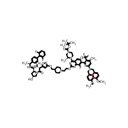 COc1ccc(CN(Cc2ccc(OC)cc2)c2cc(C)c(C(F)(F)F)c(-c3c(Cl)cc4c(N5CCN(C(=O)OC(C)(C)C)C[C@@H]5C)nc(OCCN5CCC(COc6cc([C@H](C(=O)N7C[C@H](O)C[C@H]7C(=O)N[C@@H](C)c7ccc(-c8c(F)cccc8F)cc7)C(C)C)on6)CC5)nc4c3F)n2)cc1